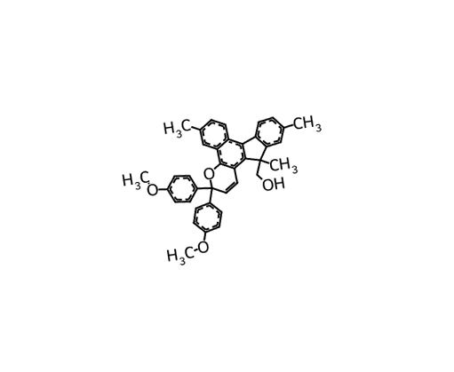 COc1ccc(C2(c3ccc(OC)cc3)C=Cc3c4c(c5ccc(C)cc5c3O2)-c2ccc(C)cc2C4(C)CO)cc1